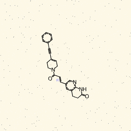 O=C1CCc2cc(/C=C/C(=O)N3CC=C(C#Cc4ccccc4)CC3)cnc2N1